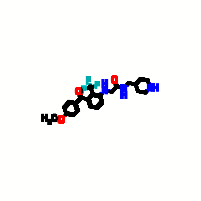 COc1ccc(C(=O)c2cccc(NCC(=O)NCC3CCNCC3)c2C(F)(F)F)cc1